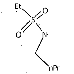 CCCC[N]S(=O)(=O)CC